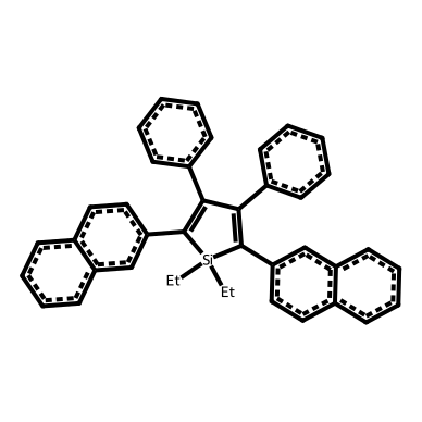 CC[Si]1(CC)C(c2ccc3ccccc3c2)=C(c2ccccc2)C(c2ccccc2)=C1c1ccc2ccccc2c1